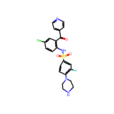 O=C(c1ccncc1)c1cc(Cl)ccc1NS(=O)(=O)c1ccc(N2CCNCC2)c(F)c1